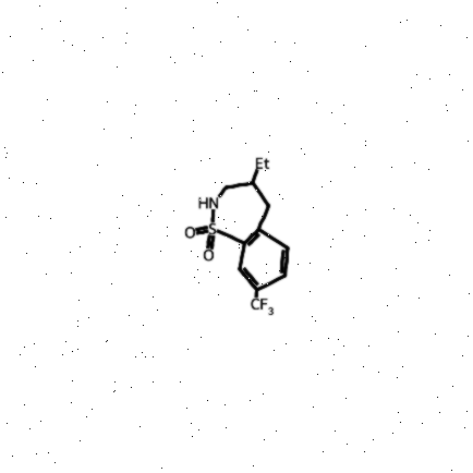 CCC1CNS(=O)(=O)c2cc(C(F)(F)F)ccc2C1